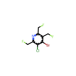 FCc1nc(CF)c(CF)c(Br)c1Cl